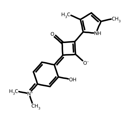 Cc1cc(C)c(C2=C([O-])/C(=C3/C=CC(=[N+](C)C)C=C3O)C2=O)[nH]1